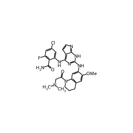 COc1cc2c(cc1Nc1nc(Nc3cc(Cl)cc(F)c3C(N)=O)c3ccnc-3[nH]1)N(C(=O)CN(C)C)CCC2